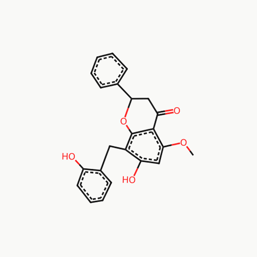 COc1cc(O)c(Cc2ccccc2O)c2c1C(=O)CC(c1ccccc1)O2